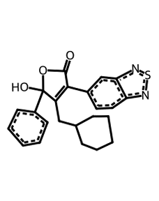 O=C1OC(O)(c2ccccc2)C(CC2CCCCC2)=C1c1ccc2nsnc2c1